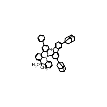 CC1(C)c2ccccc2N2B3c4c(cc(-c5ccccc5)cc4-n4c5ccc(C67CC8CC(CC(C8)C6)C7)cc5c5cc(C67CC8CC(CC(C8)C6)C7)cc3c54)-c3cccc1c32